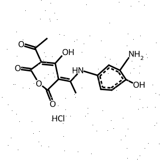 CC(=O)C1=C(O)C(=C(C)Nc2ccc(O)c(N)c2)C(=O)OC1=O.Cl